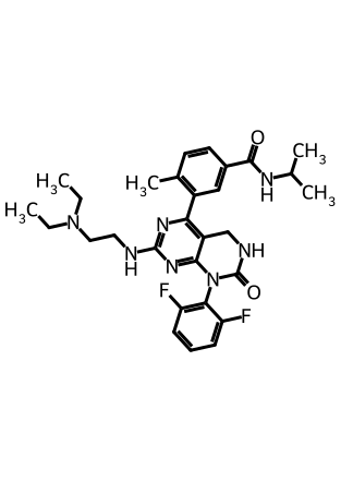 CCN(CC)CCNc1nc(-c2cc(C(=O)NC(C)C)ccc2C)c2c(n1)N(c1c(F)cccc1F)C(=O)NC2